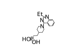 CCc1nc(N2CCC(CCP(O)O)CC2)c2ccccc2n1